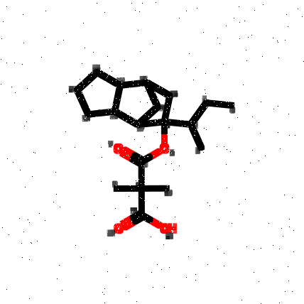 CCC(C)C1(OC(=O)C(C)(C)C(=O)O)CC2CC1C1CCCC21